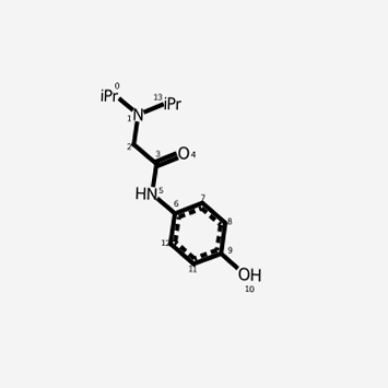 CC(C)N(CC(=O)Nc1ccc(O)cc1)C(C)C